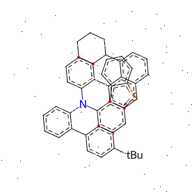 CC(C)(C)c1ccc(-c2ccccc2N(c2ccccc2-c2cccc3cccc(C4CCCCC4)c23)c2cccc3sc4ccccc4c23)cc1